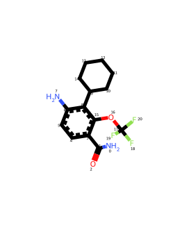 NC(=O)c1ccc(N)c(C2CCCCC2)c1OC(F)(F)F